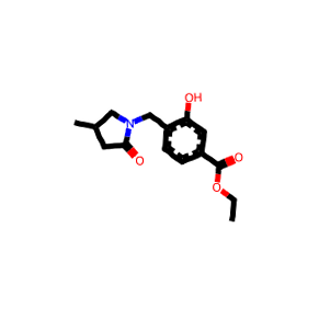 CCOC(=O)c1ccc(CN2CC(C)CC2=O)c(O)c1